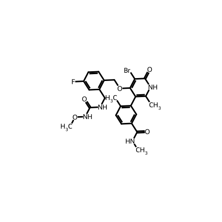 CNC(=O)c1ccc(C)c(-c2c(C)[nH]c(=O)c(Br)c2OCc2ccc(F)cc2CNC(=O)NOC)c1